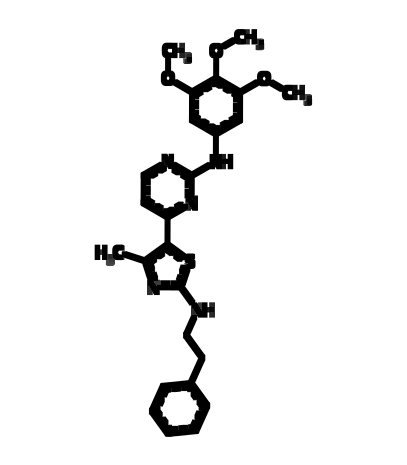 COc1cc(Nc2nccc(-c3sc(NCCc4ccccc4)nc3C)n2)cc(OC)c1OC